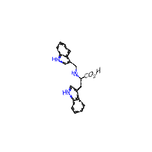 O=C(O)C(Cc1c[nH]c2ccccc12)NCc1c[nH]c2ccccc12